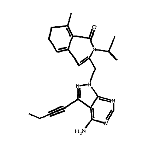 CCC#Cc1nn(Cc2cc3c(c(=O)n2C(C)C)=C(C)CCC=3)c2ncnc(N)c12